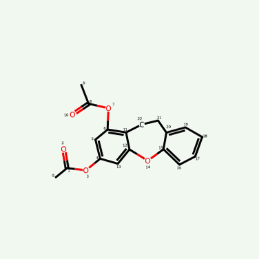 CC(=O)Oc1cc(OC(C)=O)c2c(c1)Oc1ccccc1CC2